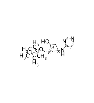 CC(C)(C)[Si](C)(C)OC[C@H]1C[C@@H](Nc2[c]cncn2)C[C@@H]1O